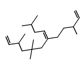 C=CC(C)CCC(=CCC(C)C)CC(C)(C)CC(C)C=C